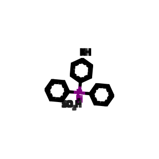 O=S(=O)(O)[PH](c1ccccc1)(c1ccccc1)c1ccccc1.[KH]